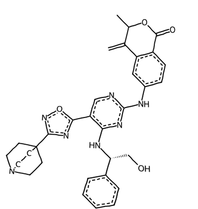 C=C1c2cc(Nc3ncc(-c4nc(C56CCN(CC5)CC6)no4)c(N[C@H](CO)c4ccccc4)n3)ccc2C(=O)OC1C